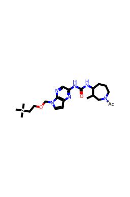 CC(=O)N1CCCC(NC(=O)Nc2cnc3c(ccn3COCC[Si](C)(C)C)n2)C(C)C1